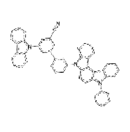 N#Cc1cc(-c2cccc(-n3c4ccc5c(c6ccccc6n5-c5ccccc5)c4c4cccnc43)c2)cc(-n2c3ccccc3c3ccccc32)c1